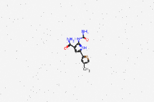 Cc1csc(-c2cc(C(N)=O)c(NC(N)=O)[nH]2)c1